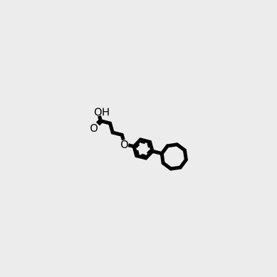 O=C(O)CCCOc1ccc(C2CCCCCCC2)cc1